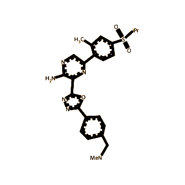 CNCc1ccc(-c2nnc(-c3nc(-c4ccc(S(=O)(=O)C(C)C)cc4C)cnc3N)o2)cc1